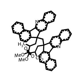 COC(=O)C(C)CC1(CC2(CC(C)C(=O)OC)c3cc4ccccc4nc3-c3c2ccc2ccccc32)c2cc3ccccc3nc2-c2c1ccc1ccccc21